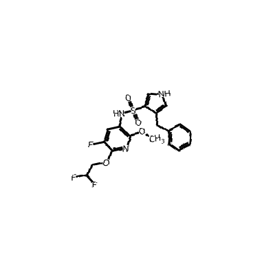 COc1nc(OCC(F)F)c(F)cc1NS(=O)(=O)c1c[nH]cc1Cc1ccccc1